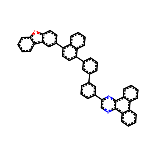 c1cc(-c2cccc(-c3ccc(-c4ccc5oc6ccccc6c5c4)c4ccccc34)c2)cc(-c2cnc3c4ccccc4c4ccccc4c3n2)c1